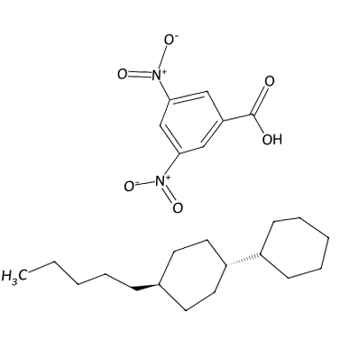 CCCCC[C@H]1CC[C@H](C2CCCCC2)CC1.O=C(O)c1cc([N+](=O)[O-])cc([N+](=O)[O-])c1